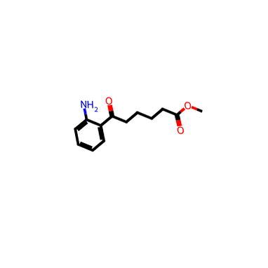 COC(=O)CCCCC(=O)c1ccccc1N